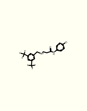 O=C(CCNCc1cc(C(F)(F)F)cc(C(F)(F)F)c1)Nc1ccc(Cl)cc1